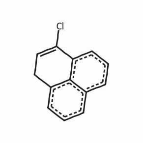 ClC1=CCc2cccc3cccc1c23